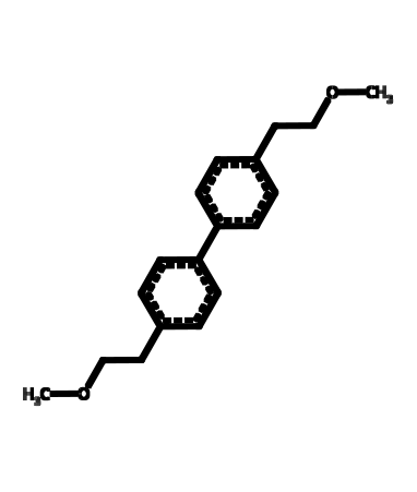 COCCc1ccc(-c2ccc(CCOC)cc2)cc1